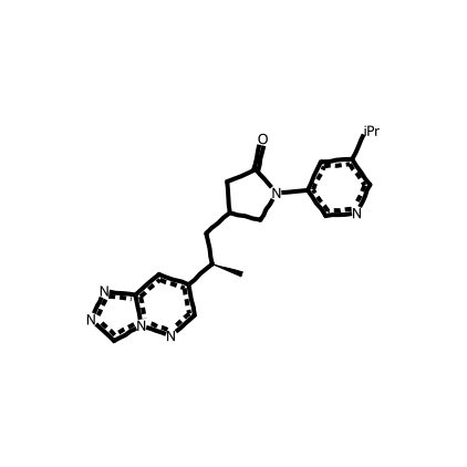 CC(C)c1cncc(N2CC(C[C@@H](C)c3cnn4cnnc4c3)CC2=O)c1